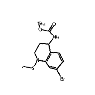 CC(C)(C)OC(=O)NC1CCN(SI)c2cc(Br)ccc21